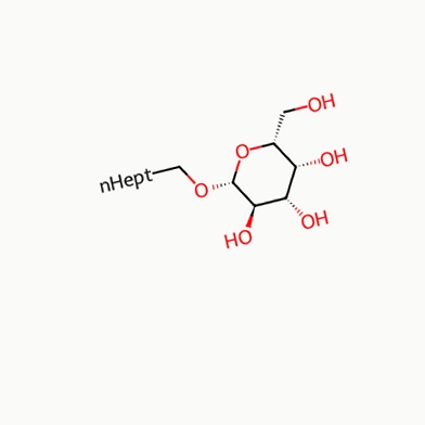 CCCCCCCCO[C@@H]1O[C@H](CO)[C@H](O)[C@H](O)[C@H]1O